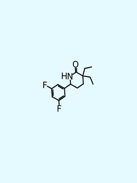 CCC1(CC)CCC(c2cc(F)cc(F)c2)NC1=O